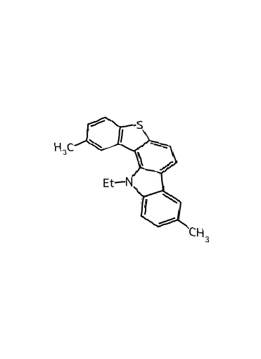 CCn1c2ccc(C)cc2c2ccc3sc4ccc(C)cc4c3c21